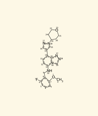 COc1cccc(F)c1CNc1ccc(-c2cnn(C3CCOCC3)c2)c2nncn12